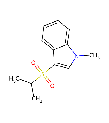 CC(C)S(=O)(=O)c1cn(C)c2ccccc12